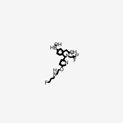 C[C@@H]1Cc2cc(BO)ccc2C(c2ccc(OCCNCCCF)cn2)N1CC(F)(F)F